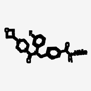 CNNC(=O)c1ccc(CN(C(=O)N2CCN(C3COC3)CC2)c2cccc(F)c2)cc1